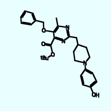 Cc1nc(CC2CCN(c3ccc(O)cc3)CC2)nc(C(=O)OC(C)(C)C)c1OCc1ccccc1